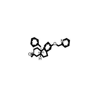 c1ccc(C[C@@]23CC[C@]4(CO4)C[C@H]2CCc2cc(OCc4ccccn4)ccc23)cc1